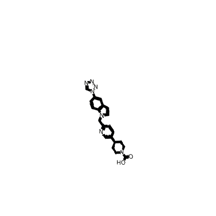 O=C(O)N1CCC(c2ccc(Cn3ccc4cc(-n5cnnn5)ccc43)nc2)CC1